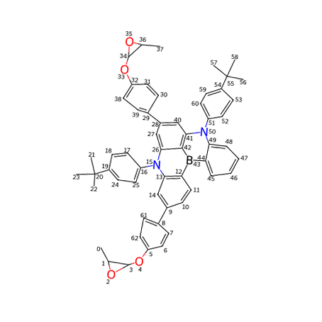 CC1OC1Oc1ccc(-c2ccc3c(c2)N(c2ccc(C(C)(C)C)cc2)c2cc(-c4ccc(OC5OC5C)cc4)cc4c2B3c2ccccc2N4c2ccc(C(C)(C)C)cc2)cc1